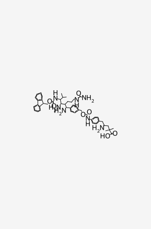 CC(C)C(NC(=O)OCC1c2ccccc2-c2ccccc21)C(N)C(CCCNC(N)=O)C(N)c1ccc(COC(=O)Nc2ccc(CC(N)CC(C)(C)C(=O)O)cc2)cc1